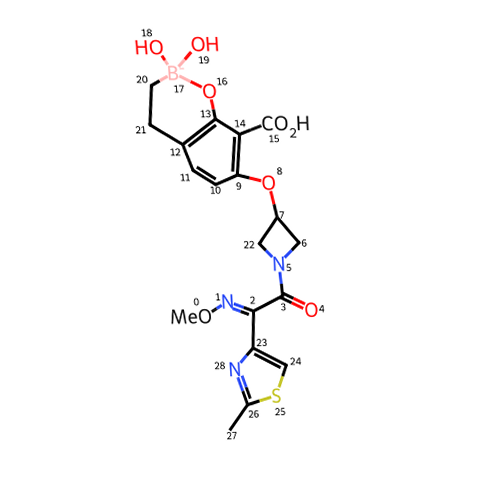 CON=C(C(=O)N1CC(Oc2ccc3c(c2C(=O)O)O[B-](O)(O)CC3)C1)c1csc(C)n1